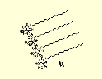 CCCCCCCCCCCCCCCCCOP(=O)([O-])C(O)P(=O)(O)O.CCCCCCCCCCCCCCCCCOP(=O)([O-])C(O)P(=O)(O)O.CCCCCCCCCCCCCCCCCOP(=O)([O-])C(O)P(=O)(O)O.CCCCCCCCCCCCCCCCCOP(=O)([O-])C(O)P(=O)(O)O.[Na+].[Na+].[Na+].[Na+]